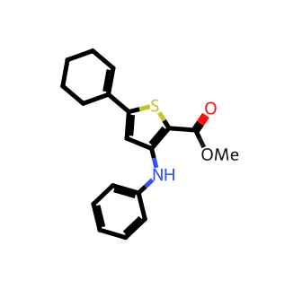 COC(=O)c1sc(C2=CCCCC2)cc1Nc1ccccc1